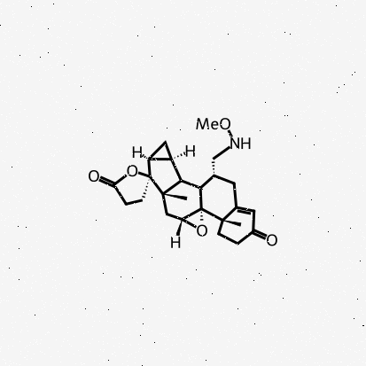 CONC[C@@H]1CC2=CC(=O)CC[C@]2(C)[C@@]23O[C@@H]2C[C@@]2(C)C(C13)[C@@H]1C[C@@H]1[C@@]21CCC(=O)O1